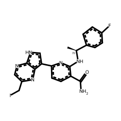 C[C@H](Nc1nc(-c2c[nH]c3ncc(CI)nc23)ccc1C(N)=O)c1ccc(F)cc1